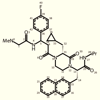 CNCC(=O)NC(CC(=O)N1CCN([C@@H](Cc2ccc3ccccc3c2)C(=O)NC(C)C)C(=O)[C@H]1CC1CC1)c1ccc(F)cc1